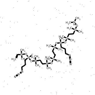 C=C[Si](C)(C)O[Si](C)(CCCN=[N+]=[N-])O[Si](C)(C)CC[Si](C)(C)O[Si](C)(C)CC[Si](C)(C)O[Si](C)(CCCN=[N+]=[N-])O[Si](C)(C)CC[Si](C)(C)O[SiH](C)C